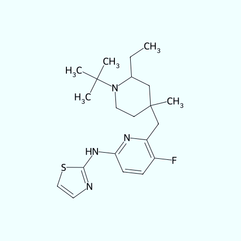 CCC1CC(C)(Cc2nc(Nc3nccs3)ccc2F)CCN1C(C)(C)C